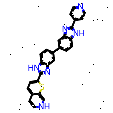 C1=CC2=CC=C(c3nc4cc(-c5ccc6[nH]c(-c7ccncc7)nc6c5)ccc4[nH]3)SC2=CN1